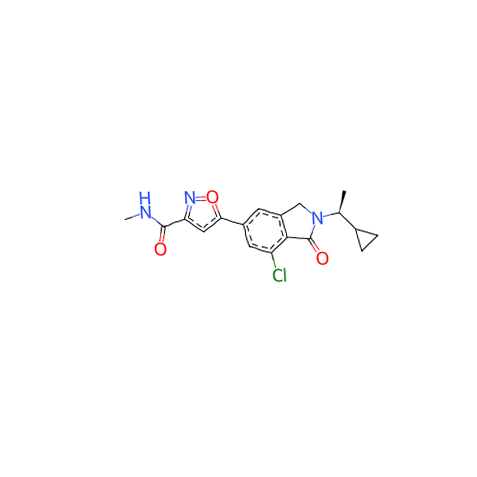 CNC(=O)c1cc(-c2cc(Cl)c3c(c2)CN([C@@H](C)C2CC2)C3=O)on1